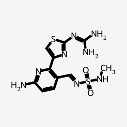 CNS(=O)(=O)N=Cc1ccc(N)nc1-c1csc(N=C(N)N)n1